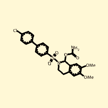 COc1cc2c(cc1OC)C(OC(N)=O)N(S(=O)(=O)c1ccc(-c3ccc(Cl)cc3)cc1)CC2